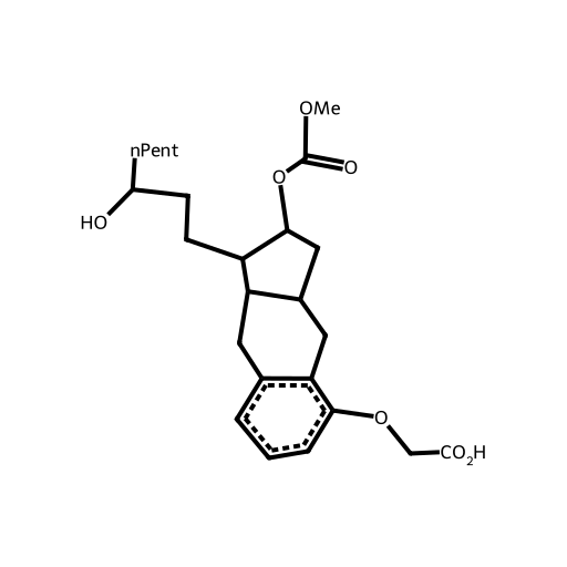 CCCCCC(O)CCC1C(OC(=O)OC)CC2Cc3c(cccc3OCC(=O)O)CC21